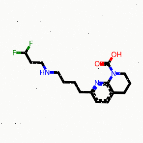 O=C(O)N1CCCc2ccc(CCCCNCCC(F)F)nc21